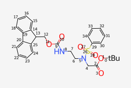 CC(C)(C)OC(=O)CN(CCNC(=O)OCC1c2ccccc2-c2ccccc21)S(=O)(=O)c1ccccc1